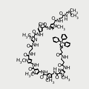 CN(C)CNC(=O)CCNC(=O)c1cc(NC(=O)c2cc(NC(=O)c3nc(NC(=O)CCNC(=O)c4cc(NC(=O)c5cc(NC(=O)c6cc(NC(=O)c7nc(NC(=O)CCNC(=O)CCCC[PH](c8ccccc8)(c8ccccc8)c8ccccc8)cn7C)cn6C)cn5C)cn4C)cn3C)cn2C)cn1C